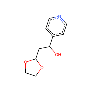 OC(CC1OCCO1)c1ccncc1